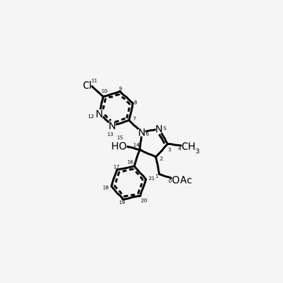 CC(=O)OCC1C(C)=NN(c2ccc(Cl)nn2)C1(O)c1ccccc1